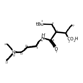 CC(C(=O)O)C(CC(C)(C)C)C(=O)NCCCN(C)C